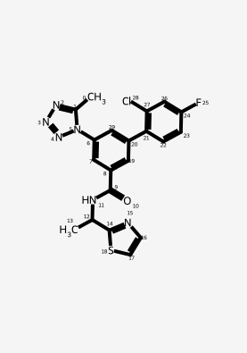 Cc1nnnn1-c1cc(C(=O)NC(C)c2nccs2)cc(-c2ccc(F)cc2Cl)c1